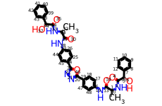 C[C@H](NC(=O)[C@@H](O)c1ccccc1)C(=O)Nc1ccc(-c2nnc(-c3ccc(NC(=O)[C@H](C)NC(=O)[C@@H](O)c4ccccc4)cc3)o2)cc1